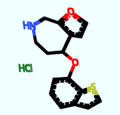 Cl.c1cc(OC2CCNCc3occc32)c2sccc2c1